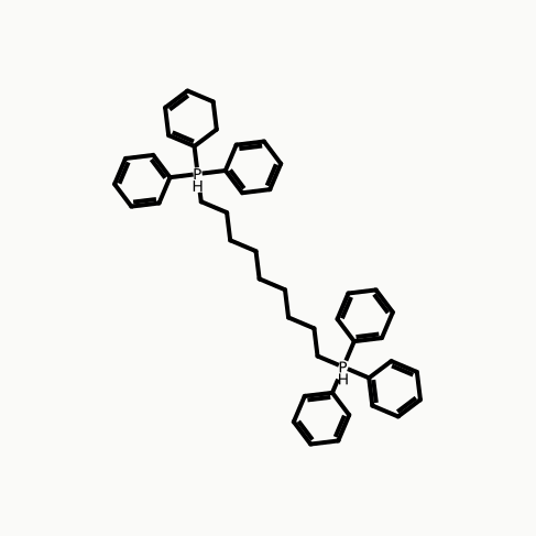 C1=CCCC([PH](CCCCCCCCC[PH](c2ccccc2)(c2ccccc2)c2ccccc2)(c2ccccc2)c2ccccc2)=C1